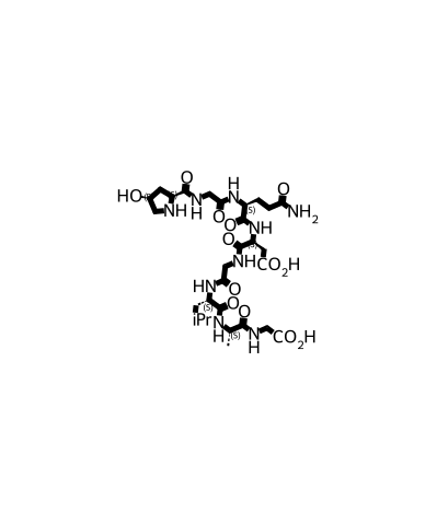 CC(C)C[C@H](NC(=O)CNC(=O)[C@H](CC(=O)O)NC(=O)[C@H](CCC(N)=O)NC(=O)CNC(=O)[C@@H]1C[C@@H](O)CN1)C(=O)N[C@@H](C)C(=O)NCC(=O)O